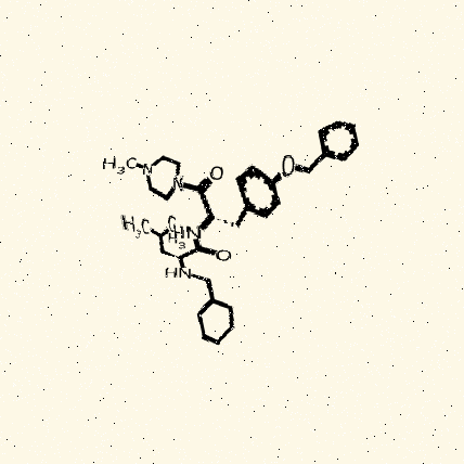 CC(C)C[C@H](NCC1CCCCC1)C(=O)N[C@@H](Cc1ccc(OCc2ccccc2)cc1)C(=O)N1CCN(C)CC1